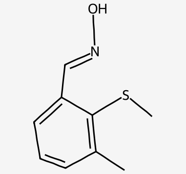 CSc1c(C)cccc1C=NO